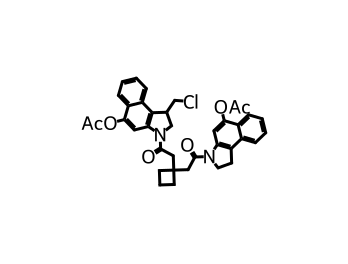 CC(=O)Oc1cc2c(c3ccccc13)CCN2C(=O)CC1(CC(=O)N2CC(CCl)c3c2cc(OC(C)=O)c2ccccc32)CCC1